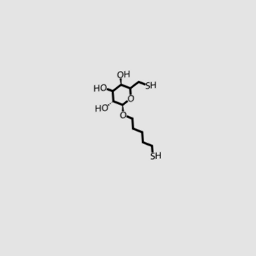 OC1[C@@H](O)C(CS)O[C@@H](OCCCCCS)[C@@H]1O